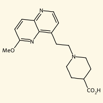 COc1ccc2nccc(CCN3CCC(C(=O)O)CC3)c2n1